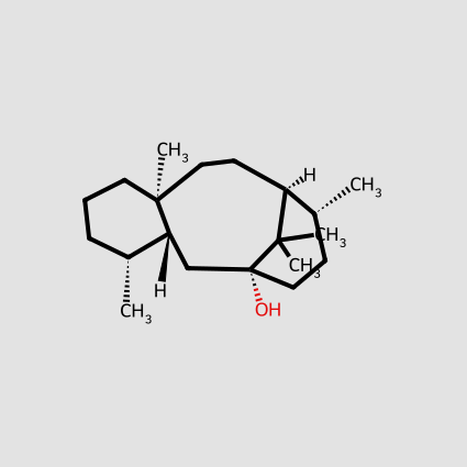 C[C@@H]1CCC[C@@]2(C)CC[C@H]3[C@H](C)CC[C@@](O)(C[C@H]12)C3(C)C